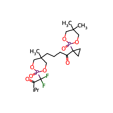 CC(C)C(=O)C(F)(F)P1(=O)OCC(C)(CCCC(=O)C2(P3(=O)OCC(C)(C)CO3)CC2)CO1